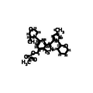 Cc1cc(-c2nsc3c(COS(C)(=O)=O)cc(N4CCOCC4C)nc23)n(C2CCCCO2)n1